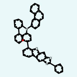 c1ccc(-c2nc3cc4c(cc3o2)oc2c(-c3ccc(N(c5ccc6ccc7ccccc7c6c5)c5ccccc5-c5ccccc5)cc3)cccc24)cc1